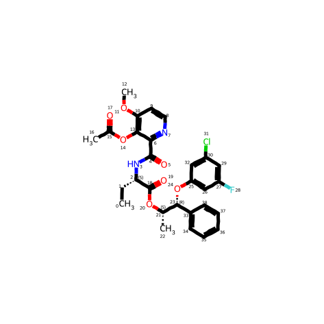 CC[C@H](NC(=O)c1nccc(OC)c1OC(C)=O)C(=O)O[C@@H](C)[C@H](Oc1cc(F)cc(Cl)c1)c1ccccc1